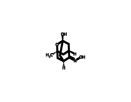 C[C@]12C[C@@H]3C[C@](O)(C[C@H](C1)/C3=N/O)O2